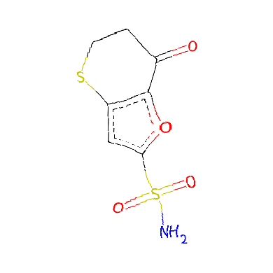 NS(=O)(=O)c1cc2c(o1)C(=O)CCS2